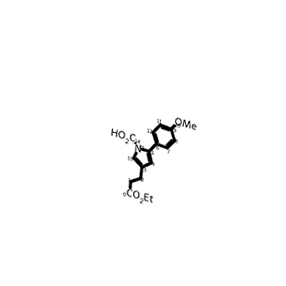 CCOC(=O)CCc1cc(-c2ccc(OC)cc2)n(C(=O)O)c1